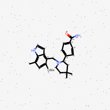 COc1cc(C)c2[nH]ccc2c1CN1CCC(C)(C)CC1c1ccc(C(N)=O)cc1